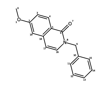 COc1ccc2c(=O)n(Cc3ccccc3)ccc2c1